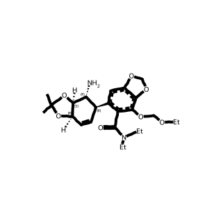 CCOCOc1c2c(cc([C@H]3C=C[C@H]4OC(C)(C)O[C@H]4[C@@H]3N)c1C(=O)N(CC)CC)OCO2